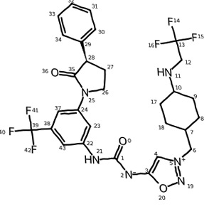 O=C([N-]c1c[n+](CC2CCC(NCC(F)(F)F)CC2)no1)Nc1cc(N2CC[C@H](c3ccccc3)C2=O)cc(C(F)(F)F)c1